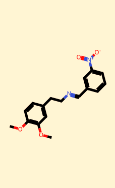 COc1ccc(CCN=Cc2cccc([N+](=O)[O-])c2)cc1OC